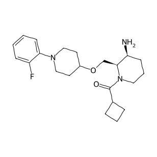 N[C@H]1CCCN(C(=O)C2CCC2)[C@H]1COC1CCN(c2ccccc2F)CC1